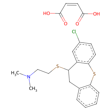 CN(C)CCSC1Cc2ccccc2Sc2ccc(Cl)cc21.O=C(O)/C=C\C(=O)O